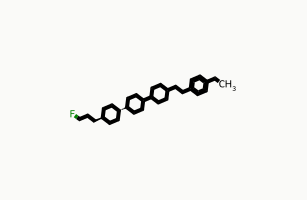 CCc1ccc(CCC2CCC(C3CCC([C@H]4CC[C@H](CCCF)CC4)CC3)CC2)cc1